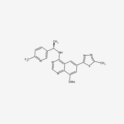 COc1cc(-c2nnc(C)s2)cc2c(N[C@H](C)c3ccc(C(F)(F)F)nc3)ncnc12